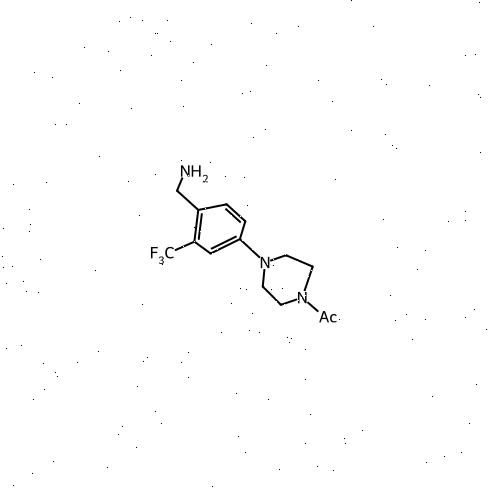 CC(=O)N1CCN(c2ccc(CN)c(C(F)(F)F)c2)CC1